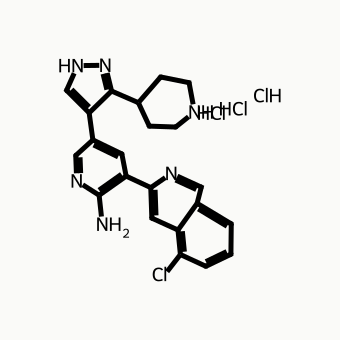 Cl.Cl.Cl.Nc1ncc(-c2c[nH]nc2C2CCNCC2)cc1-c1cc2c(Cl)cccc2cn1